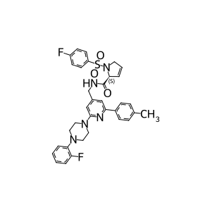 Cc1ccc(-c2cc(CNC(=O)[C@@H]3C=CCN3S(=O)(=O)c3ccc(F)cc3)cc(N3CCN(c4ccccc4F)CC3)n2)cc1